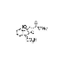 COC(=O)C1CC2(O)c3ccccc3N(C(=O)O)C2O1